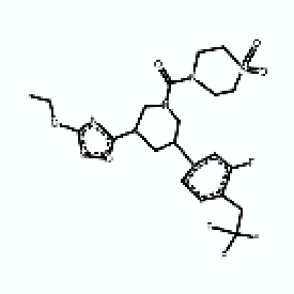 CCOc1noc(C2CC(c3ccc(CC(F)(F)F)c(F)c3)CN(C(=O)N3CCS(=O)(=O)CC3)C2)n1